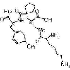 NCCCCC(N)C(=O)NC[C@H](CC1(C(=O)N[C@@H](Cc2ccc(O)cc2)C(=O)O)CCCC1)C(=O)O